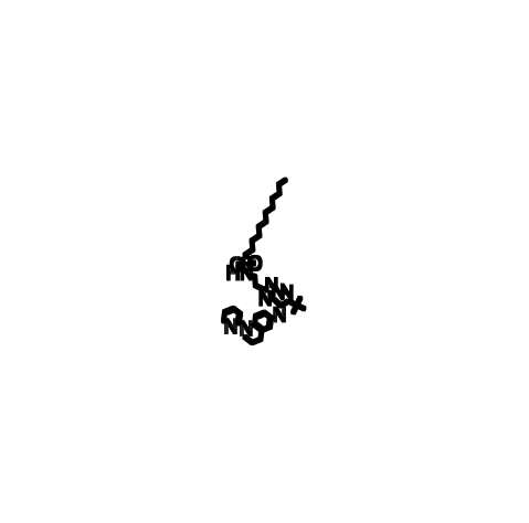 CCCCCCCCCCCCS(=O)(=O)NCCc1nc2n(n1)N=C(C(C)(C)C)/C2=N/c1ccc2c(c1)CCCN2c1ccccn1